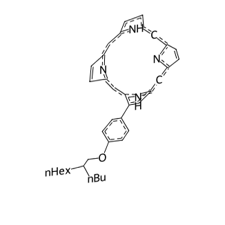 CCCCCCC(CCCC)COc1ccc(-c2cc3cc4nc(cc5ccc(cc6nc(cc2[nH]3)C=C6)[nH]5)C=C4)cc1